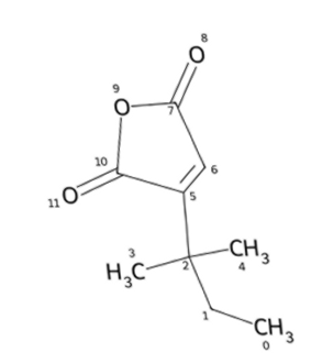 CCC(C)(C)C1=CC(=O)OC1=O